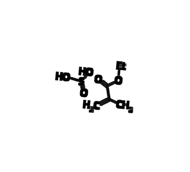 C=C(C)C(=O)OCC.O=S(O)O